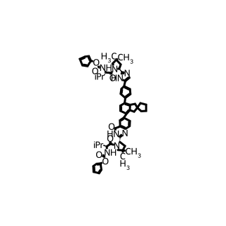 CC(C)[C@H](NC(=O)Oc1ccccc1)C(=O)N1CC(C)(C)C[C@H]1c1ncc(-c2ccc(-c3ccc(-c4ccc5nc([C@@H]6CC(C)(C)CN6C(=O)[C@@H](NC(=O)Oc6ccccc6)C(C)C)[nH]c(=O)c5c4)c4c3CC3(CCCC3)C4)cc2)[nH]1